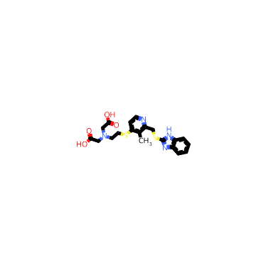 Cc1c(SCCN(CC(=O)O)CC(=O)O)ccnc1CSc1nc2ccccc2[nH]1